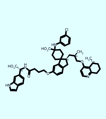 C[C@@H](COc1ccnc2c1[C@H](C)CCC2)C[C@H]1Cc2ccc(OCCCC(=O)N[C@@H](C(=O)O)c3ccc4cc[nH]c4c3)cc2C12CCC(Nc1cccc(Cl)c1)(C(=O)O)CC2